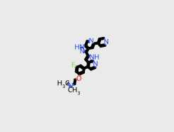 CN(C)CCOc1cc(F)cc(-c2ccnc3[nH]c(-c4n[nH]c5cnc(-c6ccncc6)cc45)cc23)c1